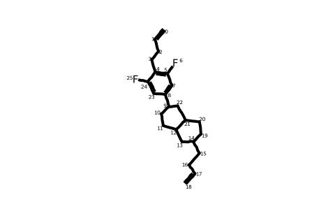 C=CCCc1c(F)cc(C2CCC3CC(CCC=C)CCC3C2)cc1F